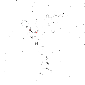 N#Cc1ccc(O[C@H]2CC[C@H](NC(=O)c3ccc(N4C5CCC4CN(Cc4ccc6c(c4F)CN(C4CCC(=O)NC4=O)C6=O)C5)nn3)CC2)cc1Cl